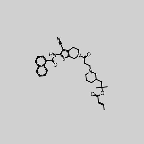 C/C=C/C(=O)OC(C)(C)CC1CCCN(CCC(=O)N2CCc3c(sc(NC(=O)c4cccc5ccccc45)c3C#N)C2)C1